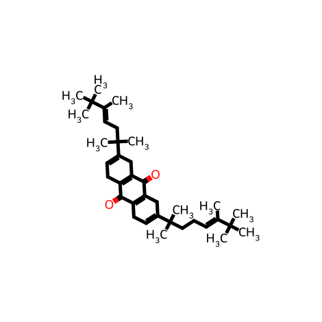 C/C(=C\CCC(C)(C)C1=CCC2=C(C1)C(=O)C1=C(CC=C(C(C)(C)C/C=C(\C)C(C)(C)C)C1)C2=O)C(C)(C)C